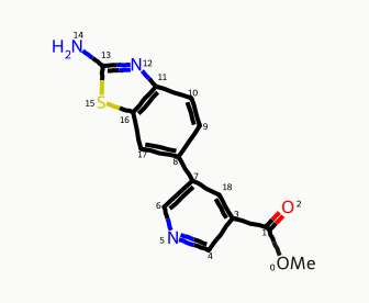 COC(=O)c1cncc(-c2ccc3nc(N)sc3c2)c1